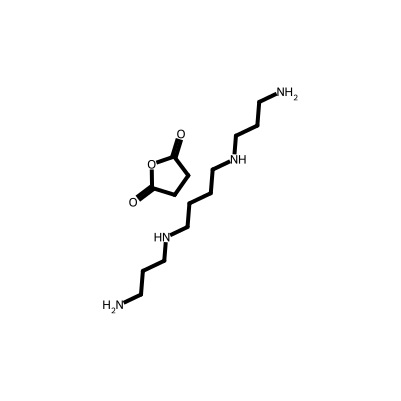 NCCCNCCCCNCCCN.O=C1CCC(=O)O1